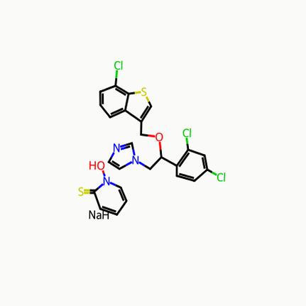 Clc1ccc(C(Cn2ccnc2)OCc2csc3c(Cl)cccc23)c(Cl)c1.On1ccccc1=S.[NaH]